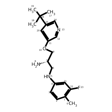 Cc1ccc(NC[C@H](N)COc2cncc(C(C)(C)C)c2)cc1F